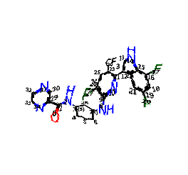 O=C(N[C@H]1CCC[C@@H](Nc2nc(-c3c[nH]c4c(F)cc(F)cc34)c(C(F)(F)F)cc2F)C1)c1cnccn1